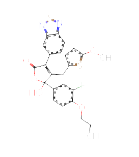 CCCOc1ccc(C2(O)OC(=O)C(c3ccc4nsnc4c3)=C2Cc2ccc(OC)s2)cc1F